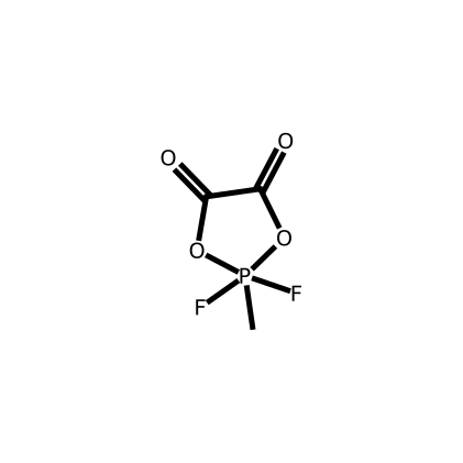 CP1(F)(F)OC(=O)C(=O)O1